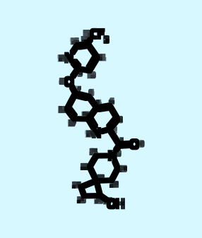 O=C(c1ccc2cc(Oc3ccc(C(F)(F)F)cn3)ccc2n1)N1CCC2(CCC2O)CC1